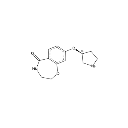 O=C1NCCOc2cc(O[C@H]3CCNC3)ccc21